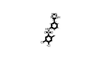 Cc1cc(Cl)c(Cl)cc1S(=O)(=O)Nc1cccc(-c2nnn[nH]2)c1